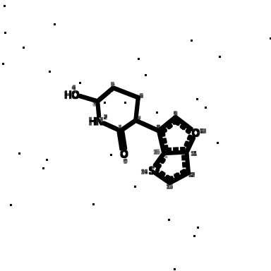 O=C1NC(O)CCC1c1coc2ccsc12